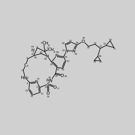 CC1(C)C[C@@H]2CCCNc3cccc(n3)S(=O)(=O)NC(=O)c3ccc(-n4ccc(OCCC(C5CC5)C5CC5)n4)nc3N1C2